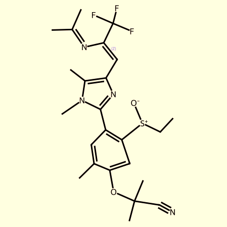 CC[S+]([O-])c1cc(OC(C)(C)C#N)c(C)cc1-c1nc(/C=C(\N=C(C)C)C(F)(F)F)c(C)n1C